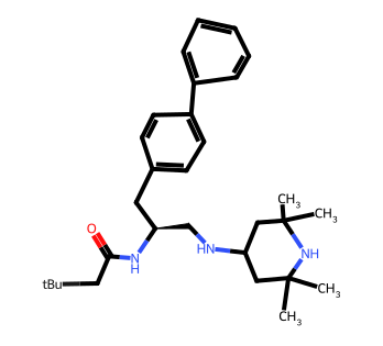 CC(C)(C)CC(=O)N[C@H](CNC1CC(C)(C)NC(C)(C)C1)Cc1ccc(-c2ccccc2)cc1